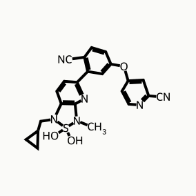 CN1c2nc(-c3cc(Oc4ccnc(C#N)c4)ccc3C#N)ccc2N(CC2CC2)S1(O)O